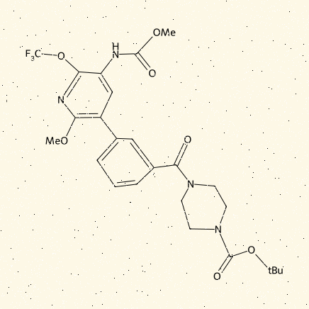 COC(=O)Nc1cc(-c2cccc(C(=O)N3CCN(C(=O)OC(C)(C)C)CC3)c2)c(OC)nc1OC(F)(F)F